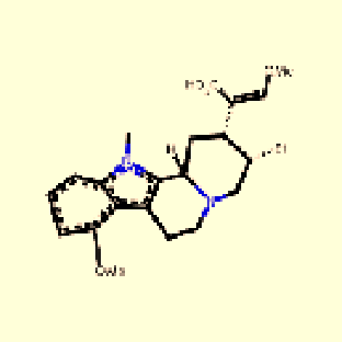 CC[C@@H]1CN2CCc3c(n(C)c4cccc(OC)c34)[C@@H]2C[C@@H]1C(=COC)C(=O)O